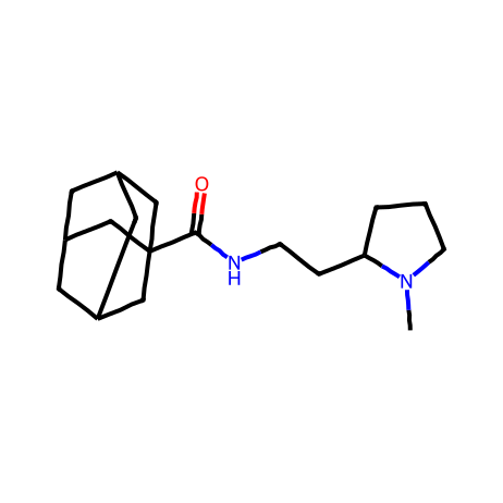 CN1CCCC1CCNC(=O)C12CC3CC(CC(C3)C1)C2